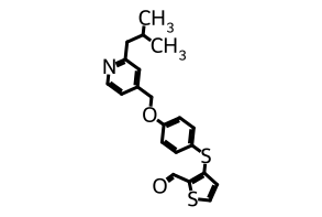 CC(C)Cc1cc(COc2ccc(Sc3ccsc3C=O)cc2)ccn1